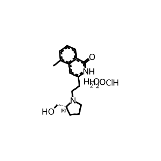 Cc1cccc2c(=O)[nH]c(CCN3CCC[C@@H]3CO)cc12.Cl.O.O